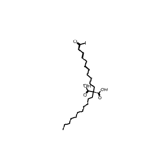 CCCCCCCCCCCC(CCCCCCCCCCC(=O)I)(C(=O)O)C(=O)O